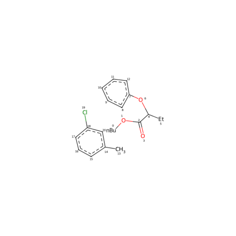 CCCCOC(=O)C(CC)Oc1ccccc1.Cc1cccc(Cl)c1